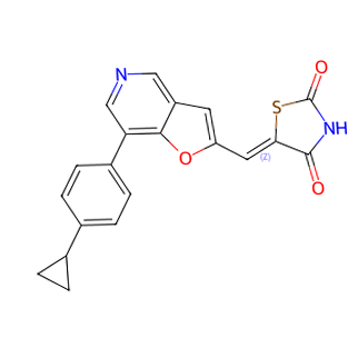 O=C1NC(=O)/C(=C/c2cc3cncc(-c4ccc(C5CC5)cc4)c3o2)S1